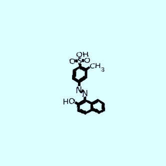 Cc1cc(/N=N/c2c(O)ccc3ccccc23)ccc1S(=O)(=O)O